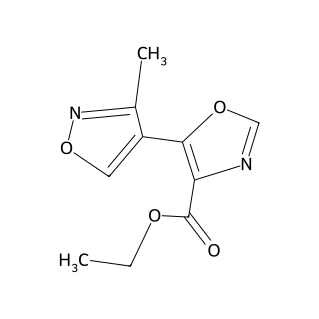 CCOC(=O)c1ncoc1-c1conc1C